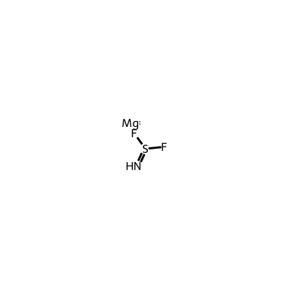 N=S(F)F.[Mg]